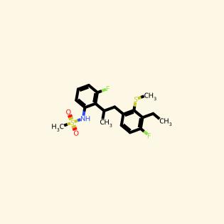 CCc1c(F)ccc(CC(C)c2c(F)cccc2NS(C)(=O)=O)c1SC